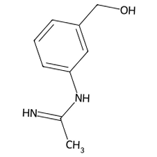 CC(=N)Nc1cccc(CO)c1